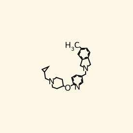 Cc1ccc2c(c1)CN(Cc1ccc(OC3CCN(CC4CC4)CC3)nc1)C2